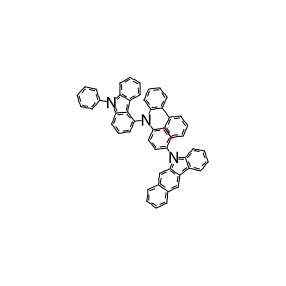 c1ccc(-c2ccccc2N(c2ccc(-n3c4ccccc4c4cc5ccccc5cc43)cc2)c2cccc3c2c2ccccc2n3-c2ccccc2)cc1